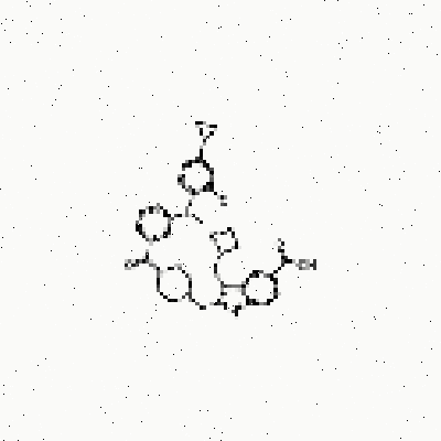 CN(c1cccc(C(=O)N2CCN(Cc3nc4ccc(C(=O)O)cc4n3C[C@@H]3CCO3)CC2)c1)c1ccc(C2CC2)cc1Cl